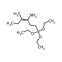 CCO[Si](CCC(N)=C(C)CC)(OCC)OCC